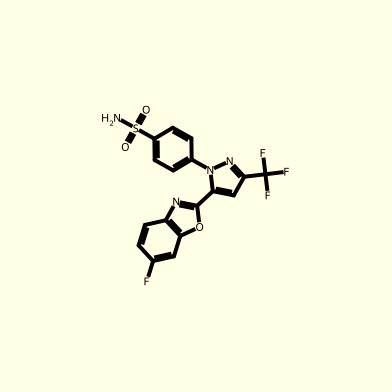 NS(=O)(=O)c1ccc(-n2nc(C(F)(F)F)cc2-c2nc3ccc(F)cc3o2)cc1